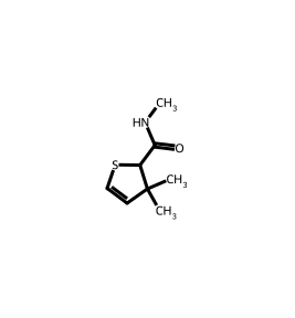 CNC(=O)C1SC=CC1(C)C